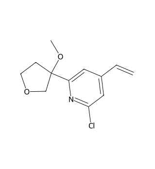 C=Cc1cc(Cl)nc(C2(OC)CCOC2)c1